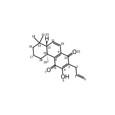 C=CCC1=C(O)C(=O)C2=C(C=C[C@H]3C(C)(C)CCC[C@]23C)C1=O